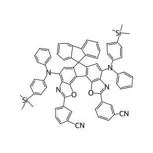 C[Si](C)(C)c1ccc(N(c2ccccc2)c2cc3c(c4oc(-c5cccc(C#N)c5)nc24)-c2c(cc(N(c4ccccc4)c4ccc([Si](C)(C)C)cc4)c4nc(-c5cccc(C#N)c5)oc24)C32c3ccccc3-c3ccccc32)cc1